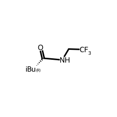 CC[C@@H](C)C(=O)NCC(F)(F)F